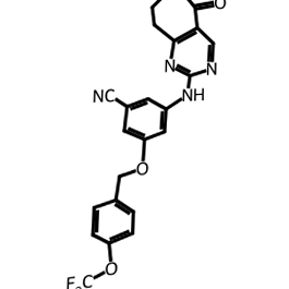 N#Cc1cc(Nc2ncc3c(n2)CCCCC3=O)cc(OCc2ccc(OC(F)(F)F)cc2)c1